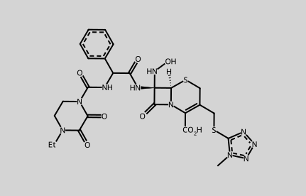 CCN1CCN(C(=O)NC(C(=O)N[C@]2(NO)C(=O)N3C(C(=O)O)=C(CSc4nnnn4C)CS[C@@H]32)c2ccccc2)C(=O)C1=O